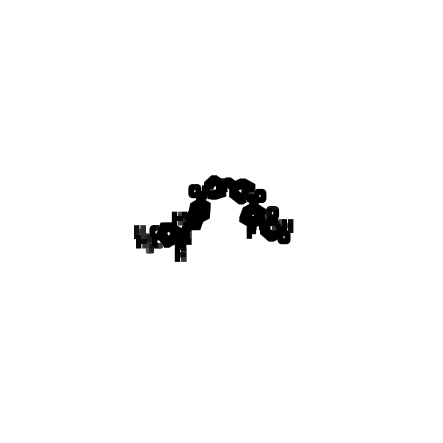 CC1(C)CCc2c(-c3cc4ccc(C(=O)N5CCN(CC6CCN(C(=O)c7ccc(F)c(N8CCC(=O)NC8=O)c7)CC6)CC5)cc4[nH]3)n[nH]c2C1